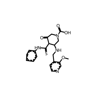 COc1cnccc1CNC1CN(C(=O)O)CC(=O)C1C(=S)Nc1ccccc1